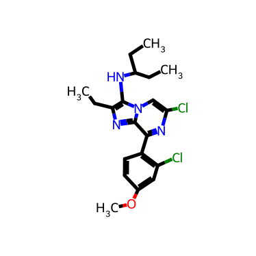 CCc1nc2c(-c3ccc(OC)cc3Cl)nc(Cl)cn2c1NC(CC)CC